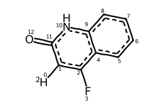 [2H]c1c(F)c2ccccc2[nH]c1=O